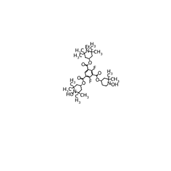 CCN1C(C)(C)CC(OC(=O)c2cc(C(=O)OC3CC(C)(C)N(O)C(C)(C)C3)c(F)c(C(=O)OC3CCN(O)C(C)(C)C3)c2F)CC1(C)C